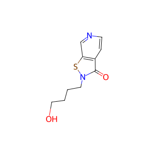 O=c1c2ccncc2sn1CCCCO